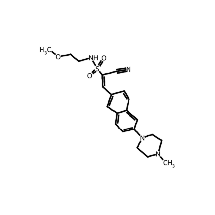 COCCNS(=O)(=O)/C(C#N)=C/c1ccc2cc(N3CCN(C)CC3)ccc2c1